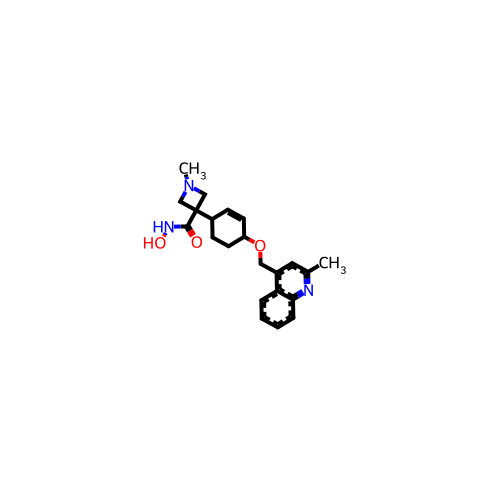 Cc1cc(COC2C=CC(C3(C(=O)NO)CN(C)C3)CC2)c2ccccc2n1